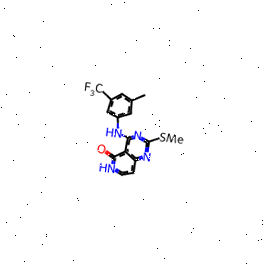 CSc1nc(Nc2cc(C)cc(C(F)(F)F)c2)c2c(=O)[nH]ccc2n1